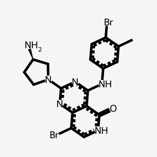 Cc1cc(Nc2nc(N3CC[C@@H](N)C3)nc3c(Br)c[nH]c(=O)c23)ccc1Br